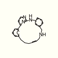 C1=CCNCc2cccc(c2)Nc2nccc(n2)-c2cccc(c2)CCC1